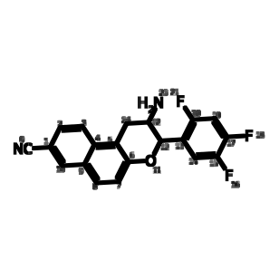 N#Cc1ccc2c3c(ccc2c1)OC(c1cc(F)c(F)cc1F)C(N)C3